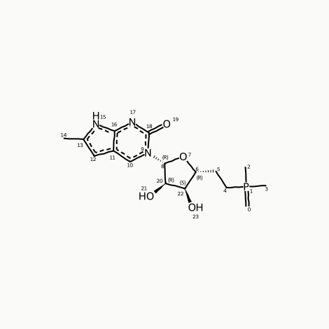 C=P(C)(C)CC[C@H]1O[C@@H](n2cc3cc(C)[nH]c3nc2=O)[C@H](O)[C@@H]1O